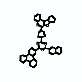 c1ccc2cc(-c3nc(-c4ccc(-c5nc6ccccc6c6c5oc5ccccc56)cc4)nc(-c4ccc5c6ccccc6c6ccccc6c5c4)n3)ccc2c1